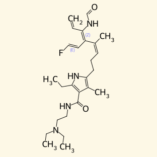 C=C/C(NC=O)=C(\C=C\F)C(C)=CCCc1[nH]c(CC)c(C(=O)NCCN(CC)CC)c1C